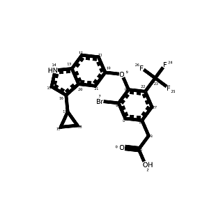 O=C(O)Cc1cc(Br)c(Oc2ccc3[nH]cc(C4CC4)c3c2)c(C(F)(F)F)c1